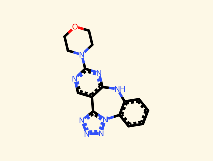 c1ccc2c(c1)Nc1nc(N3CCOCC3)ncc1-c1nnnn1-2